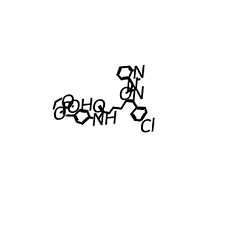 O=C(CCCc1oc(-n2cnc3ccccc32)nc1-c1ccc(Cl)cc1)Nc1ccc(C[P]2(O)OCCCO2)cc1